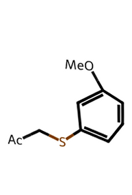 COc1cccc(SCC(C)=O)c1